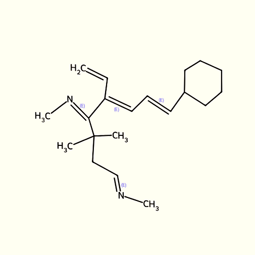 C=CC(=C\C=C\C1CCCCC1)/C(=N/C)C(C)(C)C/C=N/C